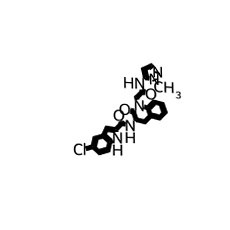 Cn1nccc1NC(=O)CN1C(=O)C(NC(=O)c2cc3cc(Cl)ccc3[nH]2)Cc2ccccc21